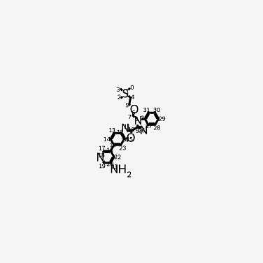 CS(C)(C)CCOCn1c(-c2nc3ccc(-c4cncc(N)c4)cc3o2)nc2ccccc21